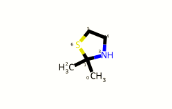 CC1(C)N[CH]CS1